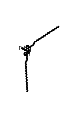 CCCCCCCCCCCCCCCCCCCCCCCC#CCCCc1ccccc1/N=C\C(CCCCCC)=N\c1ccccc1CCCC#CCCCCCCCCCCCCCCCCCCCCCCC.[Pd]